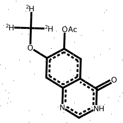 [2H]C([2H])([2H])Oc1cc2nc[nH]c(=O)c2cc1OC(C)=O